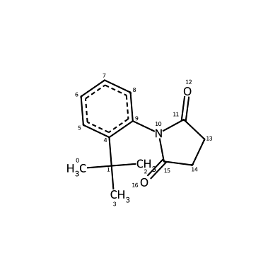 CC(C)(C)c1ccccc1N1C(=O)CCC1=O